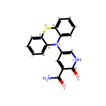 NC(=O)c1cc(N2c3ccccc3Sc3ccccc32)c[nH]c1=O